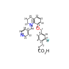 O=C(O)CCc1ccc(COc2cccc3c2N(Cc2ccncc2)CCC3)cc1F